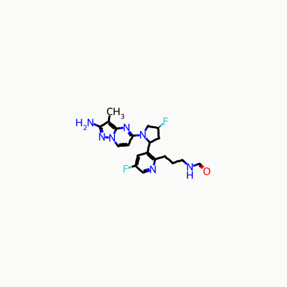 Cc1c(N)nn2ccc(N3C[C@@H](F)CC3c3cc(F)cnc3CCCNC=O)nc12